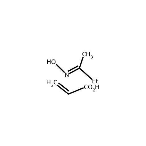 C=CC(=O)O.CCC(C)=NO